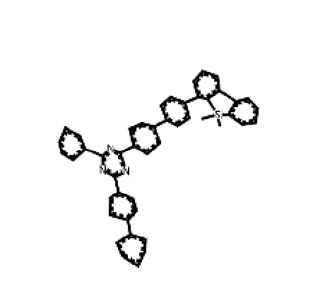 C[Si]1(C)c2ccccc2-c2cccc(-c3ccc(-c4ccc(-c5nc(-c6ccccc6)nc(-c6ccc(-c7ccccc7)cc6)n5)cc4)cc3)c21